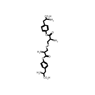 NC(Cc1ccc(OC(=O)C(N)CSSCC(N)C(=O)Oc2ccc(CC(N)C(=O)O)cc2)cc1)C(=O)O